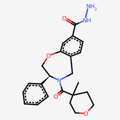 CC1(C(=O)N2Cc3ccc(C(=O)NN)cc3OC[C@@H]2c2ccccc2)CCOCC1